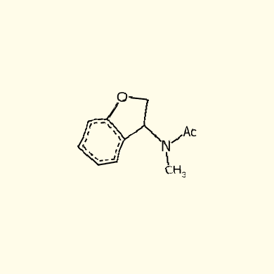 CC(=O)N(C)C1COc2ccccc21